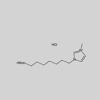 CCCCCCCCCCCCCCCCn1cc[n+](C)c1.[OH-]